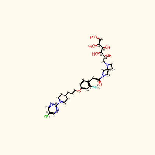 O=C(Cc1ccc(OCCCC2CCN(c3ncc(Cl)cn3)CC2)cc1F)N1CC2(CCN2CC(O)C(O)C(O)C(O)CO)C1